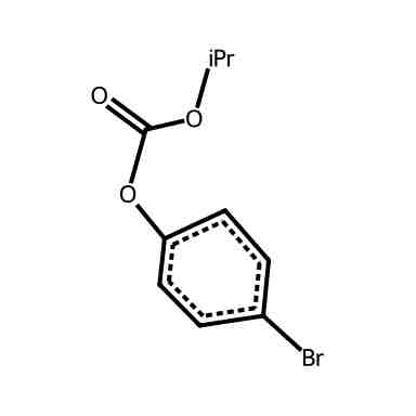 CC(C)OC(=O)Oc1ccc(Br)cc1